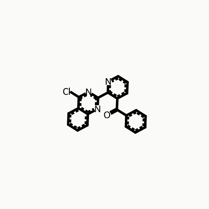 O=C(c1ccccc1)c1cccnc1-c1nc(Cl)c2ccccc2n1